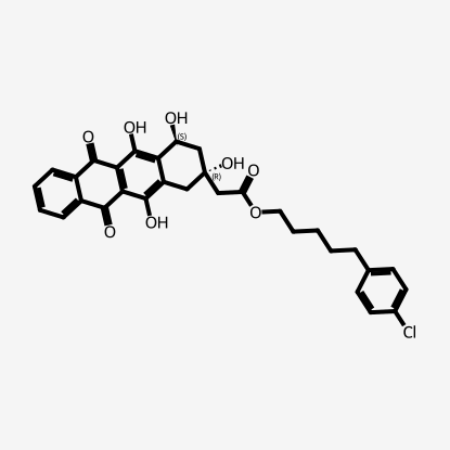 O=C(C[C@@]1(O)Cc2c(O)c3c(c(O)c2[C@@H](O)C1)C(=O)c1ccccc1C3=O)OCCCCCc1ccc(Cl)cc1